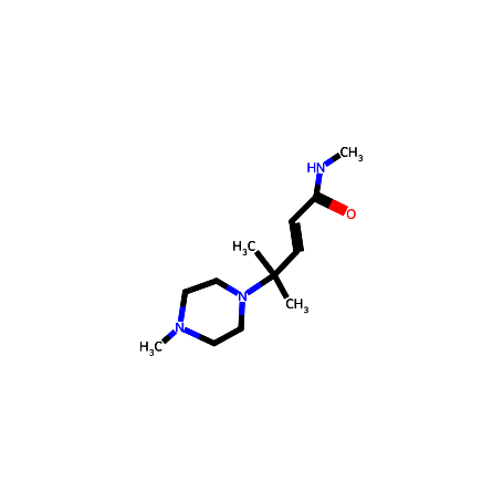 CNC(=O)/C=C/C(C)(C)N1CCN(C)CC1